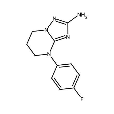 Nc1nc2n(n1)CCCN2c1ccc(F)cc1